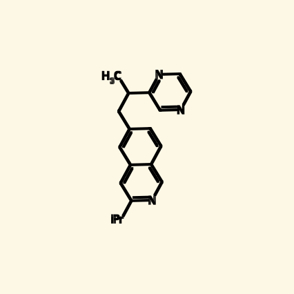 CC(C)c1cc2cc(CC(C)c3cnccn3)ccc2cn1